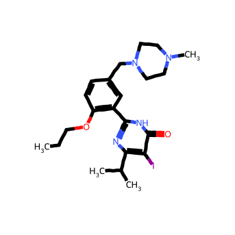 CCCOc1ccc(CN2CCN(C)CC2)cc1-c1nc(C(C)C)c(I)c(=O)[nH]1